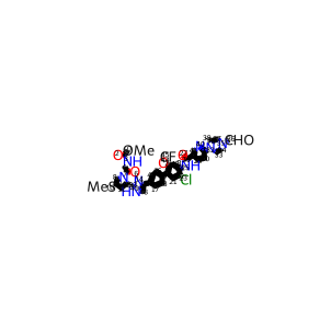 COC(=O)NCC(=O)N1C[C@@H](SC)C[C@H]1c1nc(-c2ccc(-c3cc(Cl)c(NC(=O)c4ccc(N5CCN(C=O)C[C@H]5C)nc4)cc3OC(F)(F)F)cc2)c[nH]1